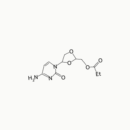 CCC(=O)OCC1OCC(n2ccc(N)nc2=O)O1